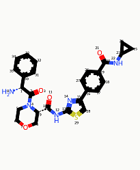 N[C@@H](C(=O)N1CCOC[C@H]1C(=O)Nc1nc(-c2ccc(C(=O)NC3CC3)cc2)cs1)c1ccccc1